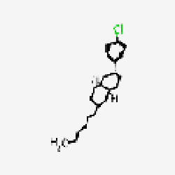 CCCCCCC1CC[C@@H]2C[C@H](c3ccc(Cl)cc3)CC[C@@H]2C1